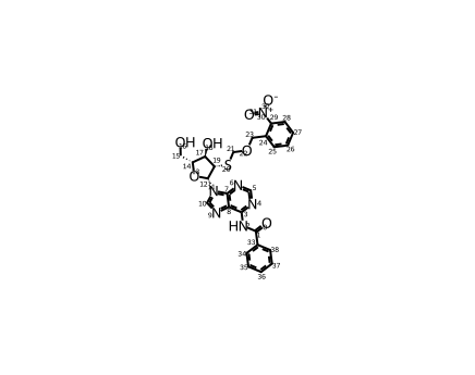 O=C(Nc1ncnc2c1ncn2[C@@H]1O[C@H](CO)[C@@H](O)[C@@H]1SCOCc1ccccc1[N+](=O)[O-])c1ccccc1